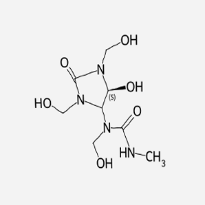 CNC(=O)N(CO)C1[C@H](O)N(CO)C(=O)N1CO